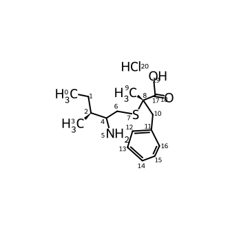 CC[C@H](C)C(N)CS[C@@](C)(Cc1ccccc1)C(=O)O.Cl